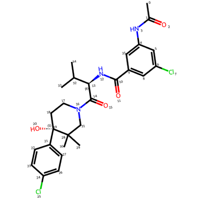 CC(=O)Nc1cc(Cl)cc(C(=O)N[C@@H](C(=O)N2CC[C@](O)(c3ccc(Cl)cc3)C(C)(C)C2)C(C)C)c1